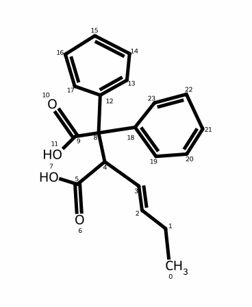 CC/C=C/C(C(=O)O)C(C(=O)O)(c1ccccc1)c1ccccc1